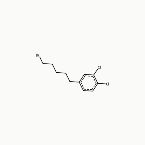 Clc1ccc(CCCCCBr)cc1Cl